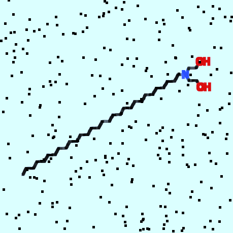 CCCCCCCCCCCCCCCCCCCCCCCCCCCCCCN(CCO)CCO